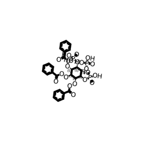 O=C(OO[C@@H]1[C@@H](OOC(=O)c2ccccc2)[C@H](OP(=O)(O)O)[C@@H](OP(=O)(O)O)[C@@H](OP(=O)(O)O)[C@H]1OOC(=O)c1ccccc1)c1ccccc1